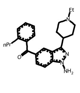 CCCc1ccccc1C(=O)c1ccc2c(c1)c(C1CCN(CC)CC1)nn2N